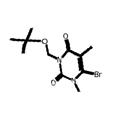 Cc1c(Br)n(C)c(=O)n(COC(C)(C)C)c1=O